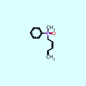 C=C/C=C\CP(C)(=O)c1ccccc1